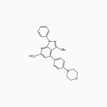 CC(C)(C)c1nn(-c2ccccc2)c2nc(C(=O)O)cc(-c3ccc(N4CCOCC4)cc3)c12